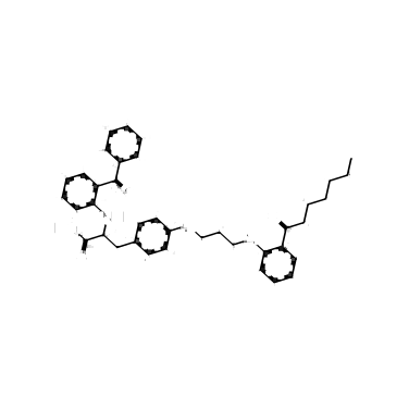 CCCCCCC(=O)c1ccccc1NCCCOc1ccc(CC(Nc2ccccc2C(=O)c2ccccc2)C(=O)O)cc1